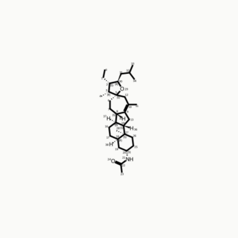 CC[C@H]1[C@@H](C)[C@@]2(CC[C@@H]3C(=C(C)C2)C[C@H]2[C@H]3CC[C@@H]3C[C@@H](NC(C)=O)CC[C@@]32C)O[C@@H]1CC(C)C